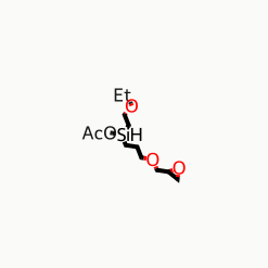 CCOCC[SiH](CCCOCC1CO1)OC(C)=O